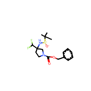 CC(C)(C)[S+]([O-])NC1(C(F)F)CCN(C(=O)OCc2ccccc2)C1